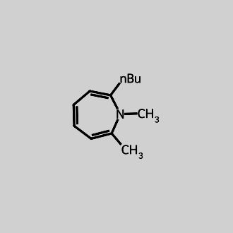 CCCCC1=CC=CC=C(C)N1C